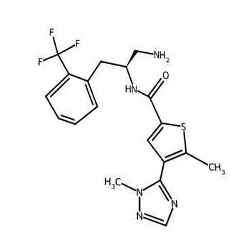 Cc1sc(C(=O)N[C@H](CN)Cc2ccccc2C(F)(F)F)cc1-c1ncnn1C